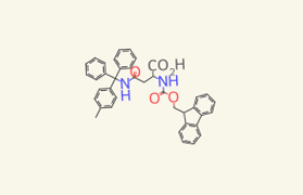 Cc1ccc(C(NC(=O)CC(NC(=O)OCC2c3ccccc3-c3ccccc32)C(=O)O)(c2ccccc2)c2ccccc2)cc1